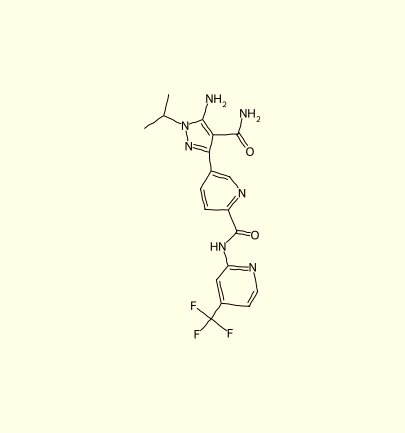 CC(C)n1nc(-c2ccc(C(=O)Nc3cc(C(F)(F)F)ccn3)nc2)c(C(N)=O)c1N